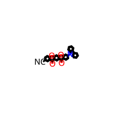 N#Cc1ccc2oc3cc4oc5cc(-n6c7ccccc7c7ccccc76)ccc5c(=O)c4cc3c(=O)c2c1